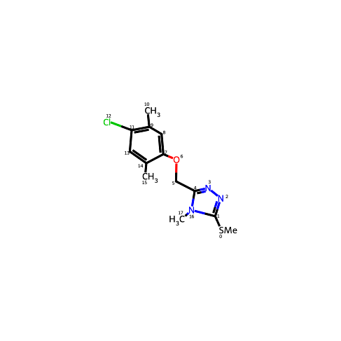 CSc1nnc(COc2cc(C)c(Cl)cc2C)n1C